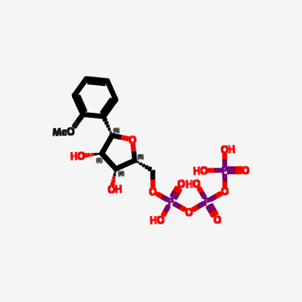 COc1ccccc1[C@@H]1O[C@H](COP(=O)(O)OP(=O)(O)OP(=O)(O)O)[C@H](O)[C@@H]1O